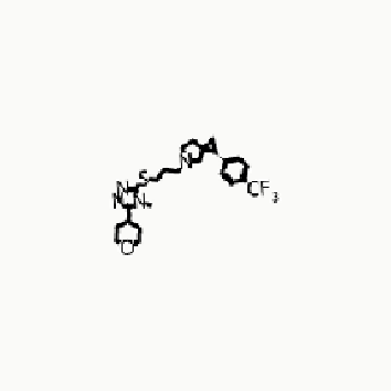 Cn1c(SCCCN2CCC3(C[C@@H]3c3ccc(C(F)(F)F)cc3)C2)nnc1C1CCOCC1